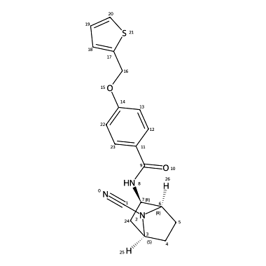 N#CN1[C@H]2CC[C@@H]1[C@H](NC(=O)c1ccc(OCc3cccs3)cc1)C2